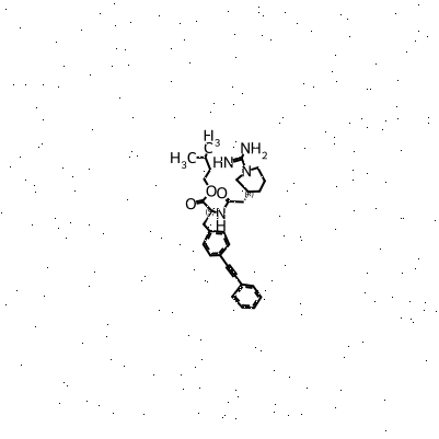 CC(C)CCOC(=O)[C@H](Cc1ccc(C#Cc2ccccc2)cc1)NC(=O)C[C@H]1CCCN(C(=N)N)C1